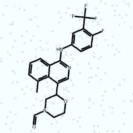 Cc1cccc2c(Nc3ccc(F)c(C(F)(F)F)c3)ncc(C3CN(C=O)CCO3)c12